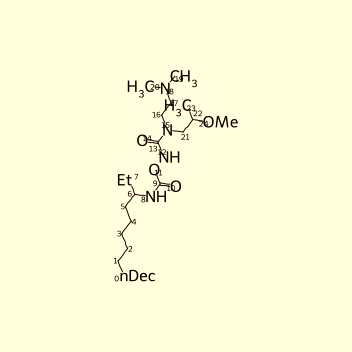 CCCCCCCCCCCCCCCC(CC)NC(=O)ONC(=O)N(CCN(C)C)CC(C)OC